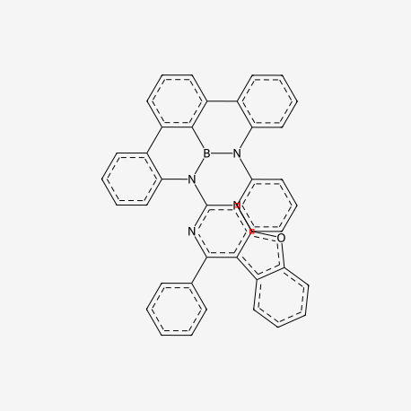 c1ccc(-c2nc(N3B4c5c(cccc5-c5ccccc53)-c3ccccc3N4c3ccccc3)nc3oc4ccccc4c23)cc1